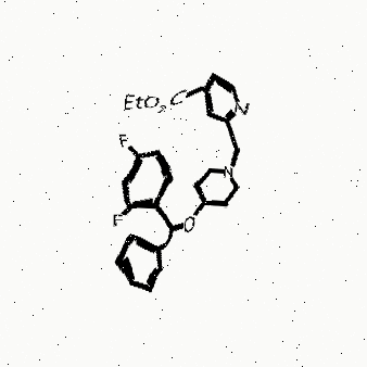 CCOC(=O)c1ccnc(CN2CCC(OC(c3ccccc3)c3ccc(F)cc3F)CC2)c1